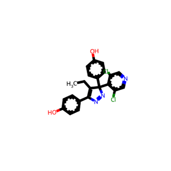 CCC1=C(c2ccc(O)cc2)N=NC1(c1ccc(O)cc1)c1c(Cl)cncc1Cl